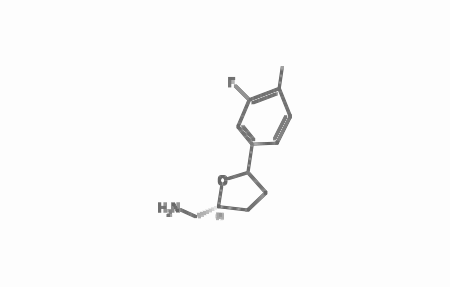 Cc1ccc(C2CC[C@H](CN)O2)cc1F